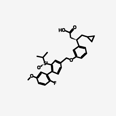 COc1ccc(F)c(-c2ccc(COc3cccc([C@H](CC(=O)O)CC4CC4)c3)cc2[S@+]([O-])C(C)C)c1